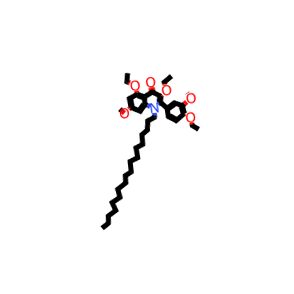 CCCCCCCCCCCCCCCCCCn1c(-c2ccc(OCC)c(OC)c2)c(OCC)c(=O)c2c(OCC)cc(OC)cc21